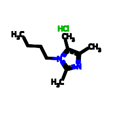 CCCCn1c(C)nc(C)c1C.Cl